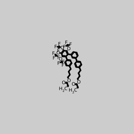 C=CC(=O)OCCCCc1ccc(-c2cccc(-c3c(OC(F)(F)F)c(OC(F)(F)F)c(OC(F)(F)F)c(OC(F)(F)F)c3-c3ccc(CCCCOC(=O)C=C)cc3)c2)cc1